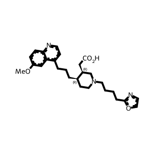 COc1ccc2nccc(CCC[C@@H]3CCN(CCCCc4ncco4)C[C@@H]3CC(=O)O)c2c1